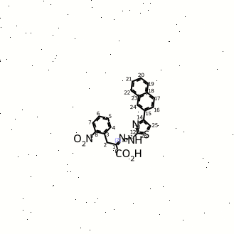 O=C(O)/C(Cc1ccccc1[N+](=O)[O-])=N\Nc1nc(-c2ccc3ccccc3c2)cs1